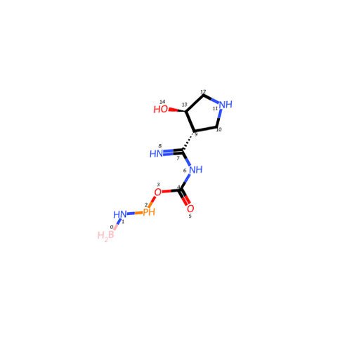 BNPOC(=O)NC(=N)[C@H]1CNC[C@@H]1O